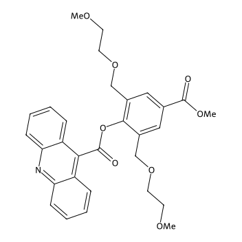 COCCOCc1cc(C(=O)OC)cc(COCCOC)c1OC(=O)c1c2ccccc2nc2ccccc12